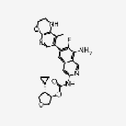 Cc1c(-c2cc3cc(NC(=O)O[C@H]4COC[C@@H]4C4CC4)ncc3c(N)c2F)cnc2c1NCCO2